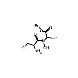 CC(C)CC(N)C(=O)N(O)C(C(=O)OC(C)(C)C)C(C)C